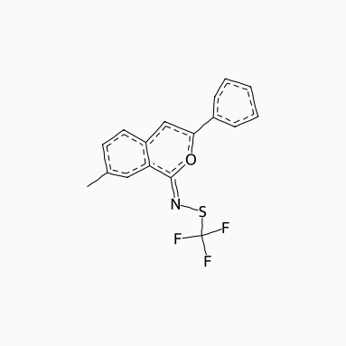 Cc1ccc2cc(-c3ccccc3)oc(=NSC(F)(F)F)c2c1